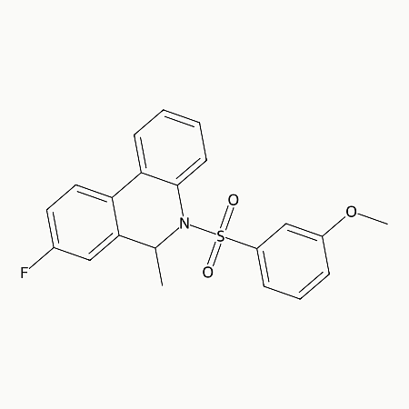 COc1cccc(S(=O)(=O)N2c3ccccc3-c3ccc(F)cc3C2C)c1